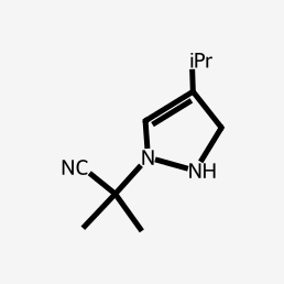 CC(C)C1=CN(C(C)(C)C#N)NC1